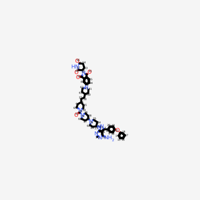 Nc1ncnc2c1c(-c1ccc(Oc3ccccc3)cc1)nn2C1CCN(C2CCN(C(=O)N3CCC(CCC4CCN(c5ccc6c(c5)C(=O)N(C5CCC(=O)NC5=O)C6=O)CC4)CC3)CC2)CC1